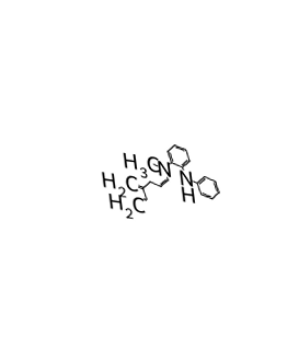 C=CC(=C)C/C=C\N(C)c1ccccc1Nc1ccccc1